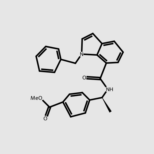 COC(=O)c1ccc([C@H](C)NC(=O)c2cccc3ccn(Cc4ccccc4)c23)cc1